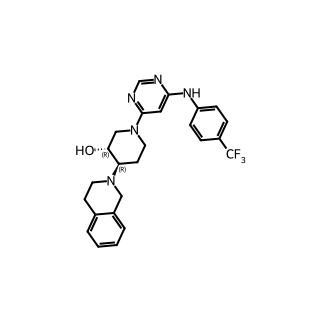 O[C@@H]1CN(c2cc(Nc3ccc(C(F)(F)F)cc3)ncn2)CC[C@H]1N1CCc2ccccc2C1